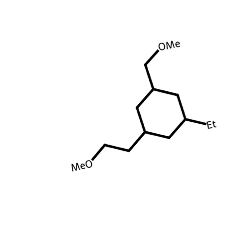 CCC1CC(CCOC)CC(COC)C1